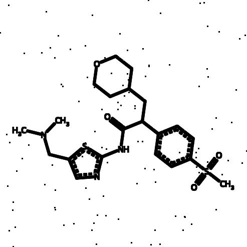 CN(C)Cc1cnc(NC(=O)C(CC2CCOCC2)c2ccc(S(C)(=O)=O)cc2)s1